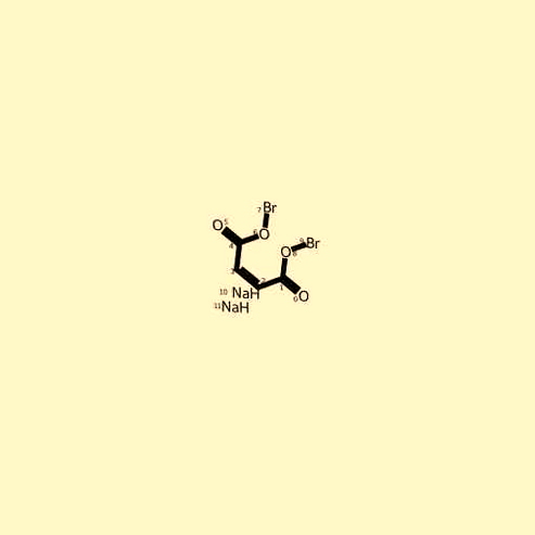 O=C(/C=C\C(=O)OBr)OBr.[NaH].[NaH]